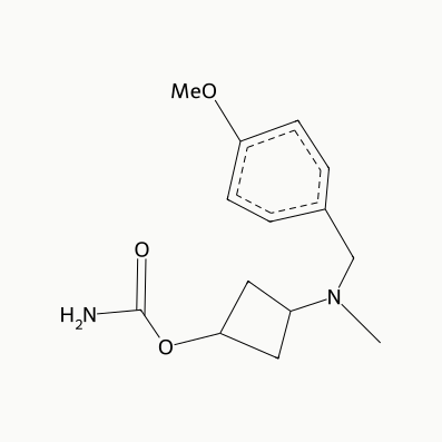 COc1ccc(CN(C)C2CC(OC(N)=O)C2)cc1